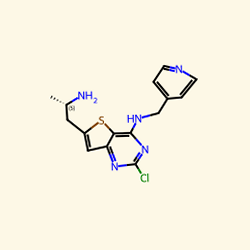 C[C@H](N)Cc1cc2nc(Cl)nc(NCc3ccncc3)c2s1